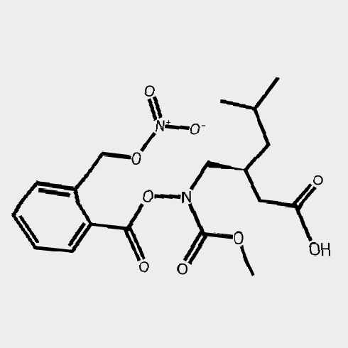 COC(=O)N(C[C@H](CC(=O)O)CC(C)C)OC(=O)c1ccccc1CO[N+](=O)[O-]